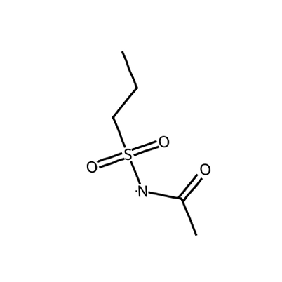 CCCS(=O)(=O)[N]C(C)=O